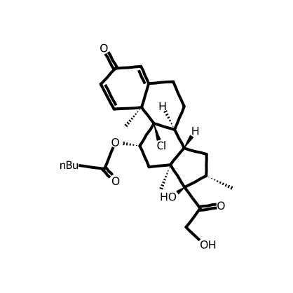 CCCCC(=O)O[C@H]1C[C@@]2(C)[C@@H](C[C@H](C)[C@]2(O)C(=O)CO)[C@@H]2CCC3=CC(=O)C=C[C@]3(C)[C@@]12Cl